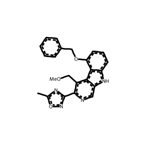 COCc1c(-c2noc(C)n2)ncc2[nH]c3cccc(OCc4ccccc4)c3c12